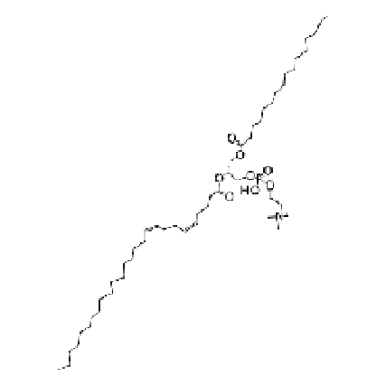 CCCCCCCCCCCCCCCC/C=C\CC/C=C\CCCC(=O)O[C@H](COC(=O)CCCCCCCCCCCCCCC)COP(=O)(O)OCC[N+](C)(C)C